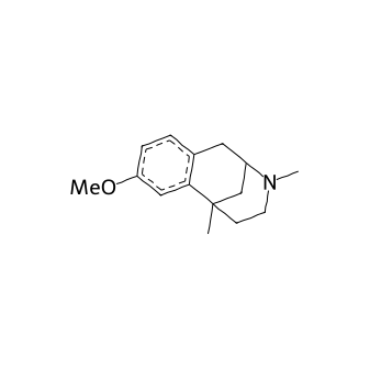 COc1ccc2c(c1)C1(C)CCN(C)C(C2)C1